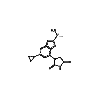 C[C@@H](N)c1cn2cc(C3CC3)cc(N3CC(=O)NC3=O)c2n1